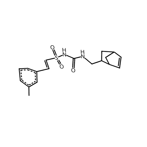 Cc1cccc(C=CS(=O)(=O)NC(=O)NCC2CC3C=CC2C3)c1